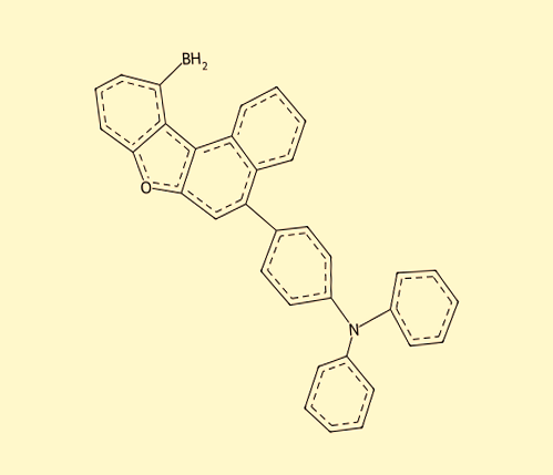 Bc1cccc2oc3cc(-c4ccc(N(c5ccccc5)c5ccccc5)cc4)c4ccccc4c3c12